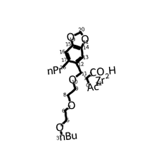 CC(=O)CC(=O)O.CCCCOCCOCCOCc1cc2c(cc1CCC)OCO2.[Zr]